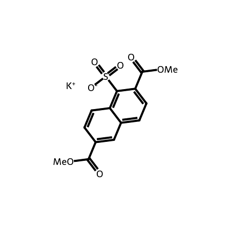 COC(=O)c1ccc2c(S(=O)(=O)[O-])c(C(=O)OC)ccc2c1.[K+]